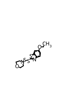 CCOc1ccc2nc(SSN3CCOCC3)sc2c1